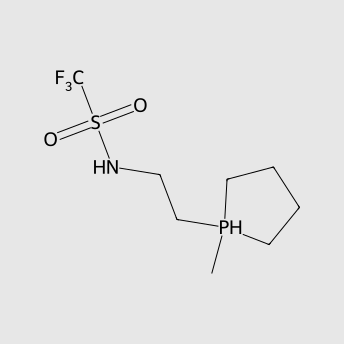 C[PH]1(CCNS(=O)(=O)C(F)(F)F)CCCC1